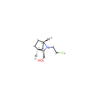 OC[C@H]1[C@H]2CC[C@@H](C2)N1CCF